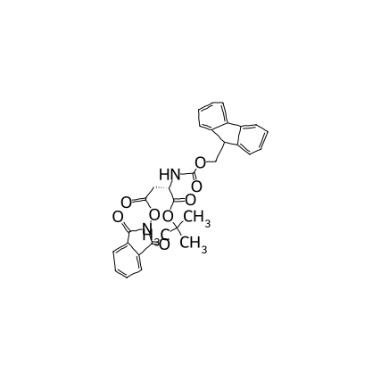 CC(C)(C)OC(=O)[C@H](CC(=O)ON1C(=O)c2ccccc2C1=O)NC(=O)OCC1c2ccccc2-c2ccccc21